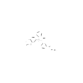 [N-]=[N+]=NC(=O)c1cccc(N2C(=O)c3ccccc3C2(O)c2ccc3c(c2)NC(=O)CO3)c1